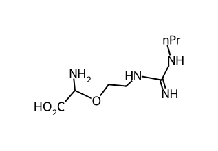 CCCNC(=N)NCCOC(N)C(=O)O